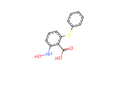 O=C(O)c1c(NO)cccc1Sc1ccccc1